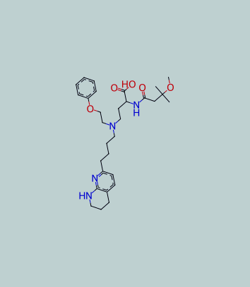 COC(C)(C)CC(=O)NC(CCN(CCCCc1ccc2c(n1)NCCC2)CCOc1ccccc1)C(=O)O